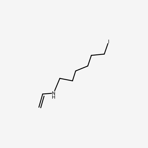 C=CNCCCCCCI